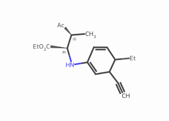 C#CC1C=C(N[C@@H](C(=O)OCC)[C@H](C)C(C)=O)C=CC1CC